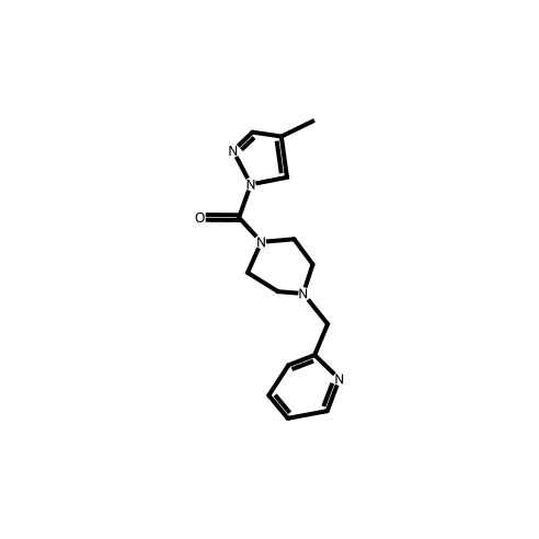 Cc1cnn(C(=O)N2CCN(Cc3ccccn3)CC2)c1